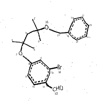 CC(C)(CC(C)(C)Oc1ccc(C=O)c(Br)c1)OCc1ccccc1